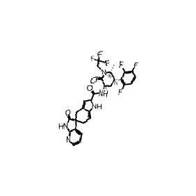 C[C@@H]1[C@H](c2c(F)ccc(F)c2F)C[C@H](NC(=O)C2C=C3CC4(CC=C3N2)C(=O)Nc2ncccc24)C(=O)N1CC(F)(F)F